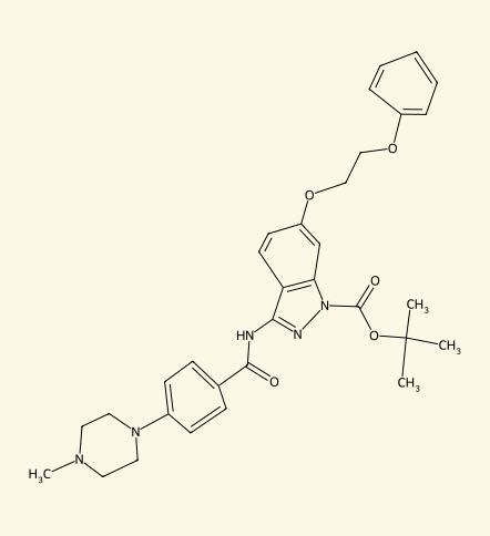 CN1CCN(c2ccc(C(=O)Nc3nn(C(=O)OC(C)(C)C)c4cc(OCCOc5ccccc5)ccc34)cc2)CC1